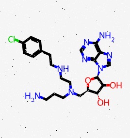 NCCCN(CCNCCc1ccc(Cl)cc1)C[C@H]1O[C@@H](n2cnc3c(N)ncnc32)C(O)[C@@H]1O